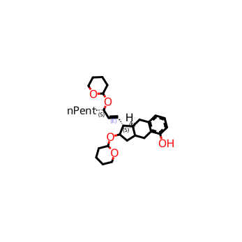 CCCCC[C@@H](/C=C/[C@H]1C(OC2CCCCO2)CC2Cc3c(O)cccc3C[C@@H]21)OC1CCCCO1